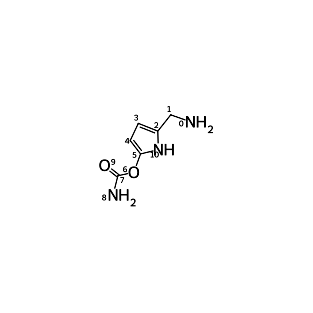 NCc1ccc(OC(N)=O)[nH]1